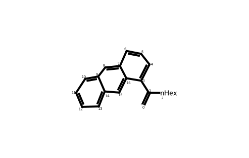 [CH]=C(CCCCCC)c1cccc2cc3ccccc3cc12